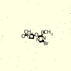 COc1nc(Br)cnc1OC1CCN(C(C)=O)C1